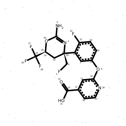 NC1=N[C@](CF)(c2cc(Oc3cc(C(=O)O)ccn3)ccc2F)C[C@@H](C(F)(F)F)O1